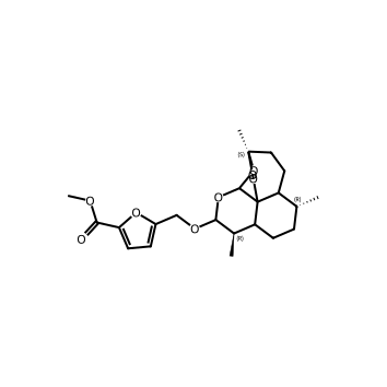 COC(=O)c1ccc(COC2OC3O[C@]4(C)CCC5[C@H](C)CCC([C@H]2C)C35OO4)o1